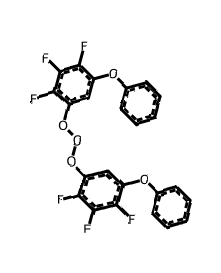 Fc1c(OOOc2cc(Oc3ccccc3)c(F)c(F)c2F)cc(Oc2ccccc2)c(F)c1F